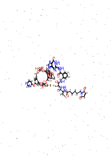 CC(C)[C@H](NC(=O)CCCCCN1C(=O)C=CC1=O)C(=O)N[C@@H](C)C(=O)NCc1ccccc1C(=O)Nc1nc2c(ncn2[C@@H]2O[C@H]3CO[P@@](=O)(S)O[C@H]4C[C@H](Oc5ccncn5)C[C@@H]4CCO[P@@](=O)(S)O[C@@H]2[C@@H]3O)c(=O)[nH]1